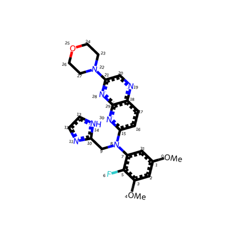 COc1cc(OC)c(F)c(N(Cc2ncc[nH]2)c2ccc3ncc(N4CCOCC4)nc3n2)c1